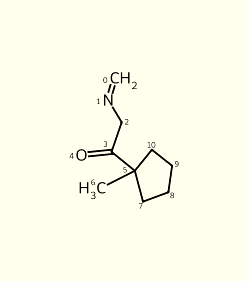 C=NCC(=O)C1(C)CCCC1